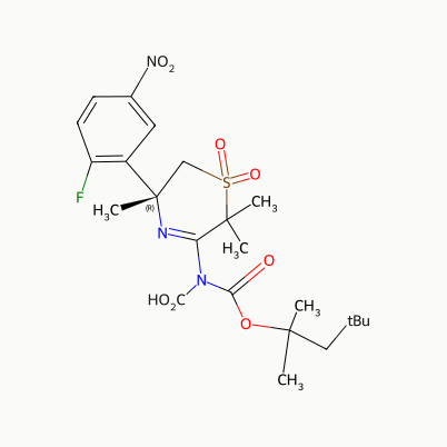 CC(C)(C)CC(C)(C)OC(=O)N(C(=O)O)C1=N[C@](C)(c2cc([N+](=O)[O-])ccc2F)CS(=O)(=O)C1(C)C